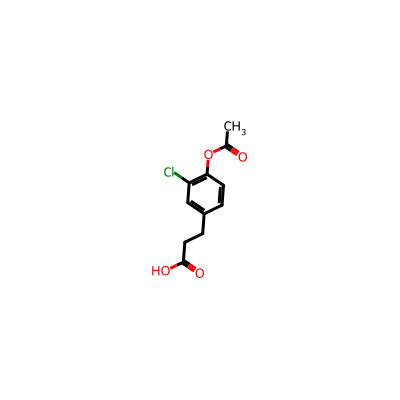 CC(=O)Oc1ccc(CCC(=O)O)cc1Cl